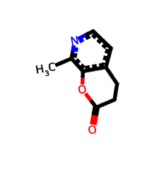 Cc1nccc2c1OC(=O)CC2